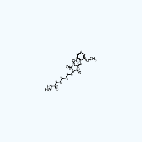 COc1ccccc1C=C1C(=O)N(CCCCCCC(=O)NO)C(=O)N1C